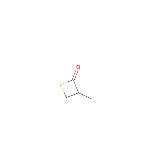 [CH2]C1CSC1=O